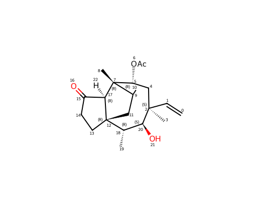 C=C[C@]1(C)C[C@@H](OC(C)=O)[C@]2(C)C(C)C[C@]3(CCC(=O)[C@H]32)[C@@H](C)[C@@H]1O